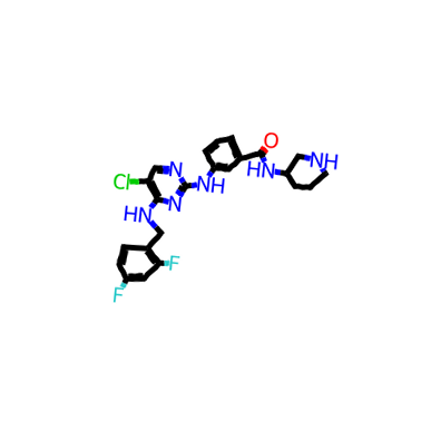 O=C(NC1CCCNC1)c1cccc(Nc2ncc(Cl)c(NCc3ccc(F)cc3F)n2)c1